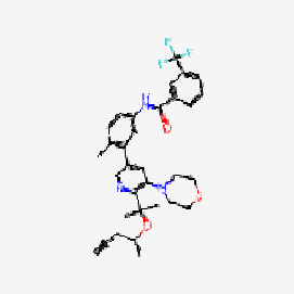 C#CCC(C)OC(C)(C)c1ncc(-c2cc(NC(=O)c3cccc(C(F)(F)F)c3)ccc2C)cc1N1CCOCC1